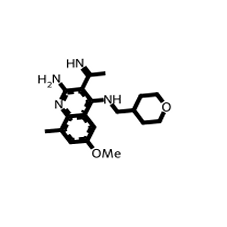 COc1cc(C)c2nc(N)c(C(C)=N)c(NCC3CCOCC3)c2c1